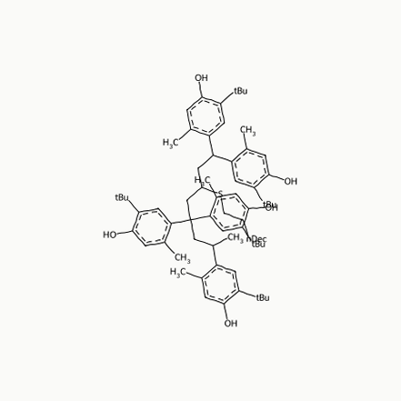 CCCCCCCCCCCCSC(CC(c1cc(C(C)(C)C)c(O)cc1C)c1cc(C(C)(C)C)c(O)cc1C)CC(CC(C)c1cc(C(C)(C)C)c(O)cc1C)(c1cc(C(C)(C)C)c(O)cc1C)c1cc(C(C)(C)C)c(O)cc1C